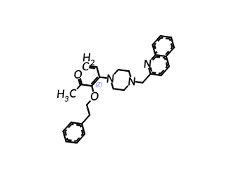 C=C/C(=C(/OCCc1ccccc1)C(C)=O)N1CCN(Cc2ccc3ccccc3n2)CC1